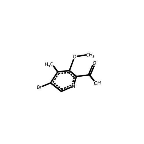 COc1c(C(=O)O)ncc(Br)c1C